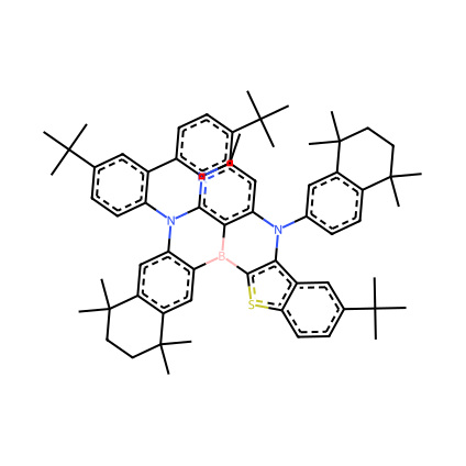 Cc1cc2c3c(n1)N(c1ccc(C(C)(C)C)cc1-c1ccc(C(C)(C)C)cc1)c1cc4c(cc1B3c1sc3ccc(C(C)(C)C)cc3c1N2c1ccc2c(c1)C(C)(C)CCC2(C)C)C(C)(C)CCC4(C)C